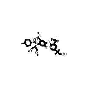 COCC(COC)N(c1cc(F)c(Oc2ncc(C(C)(C)CO)cc2C(F)(F)F)cc1C(=O)OC)C(=O)[C@H]1CC[C@H](C)CC1